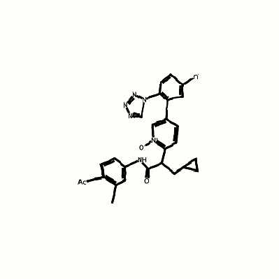 CC(=O)c1ccc(NC(=O)C(CC2CC2)c2ccc(-c3cc(Cl)ccc3-n3cnnn3)c[n+]2[O-])cc1C